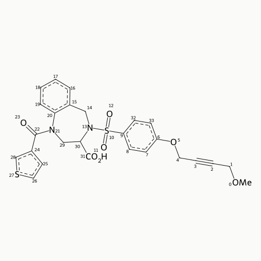 COCC#CCOc1ccc(S(=O)(=O)N2Cc3ccccc3N(C(=O)c3ccsc3)CC2C(=O)O)cc1